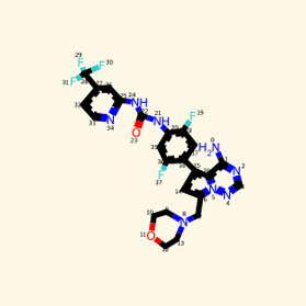 Nc1ncnn2c(CN3CCOCC3)cc(-c3cc(F)c(NC(=O)Nc4cc(C(F)(F)F)ccn4)cc3F)c12